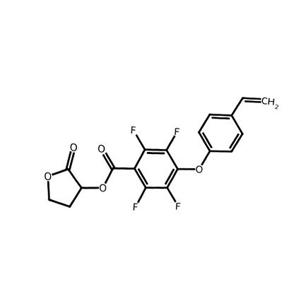 C=Cc1ccc(Oc2c(F)c(F)c(C(=O)OC3CCOC3=O)c(F)c2F)cc1